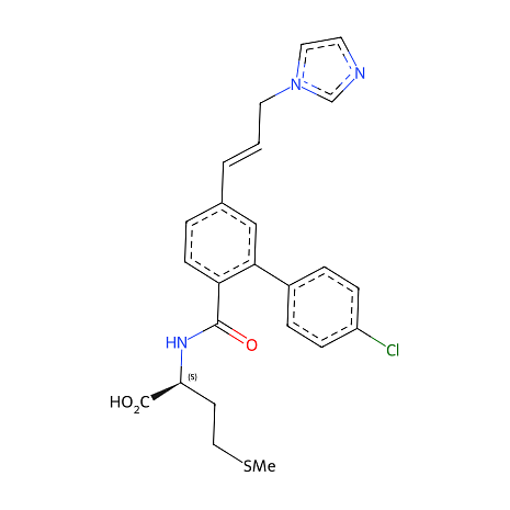 CSCC[C@H](NC(=O)c1ccc(C=CCn2ccnc2)cc1-c1ccc(Cl)cc1)C(=O)O